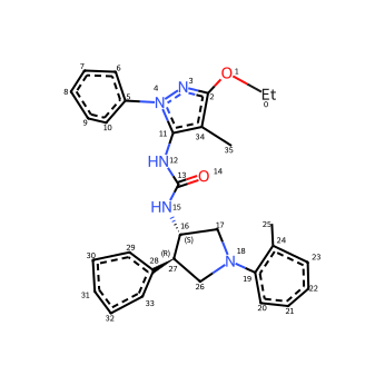 CCOc1nn(-c2ccccc2)c(NC(=O)N[C@@H]2CN(c3ccccc3C)C[C@H]2c2ccccc2)c1C